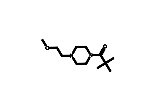 COCCN1CCN(C(=O)C(C)(C)C)CC1